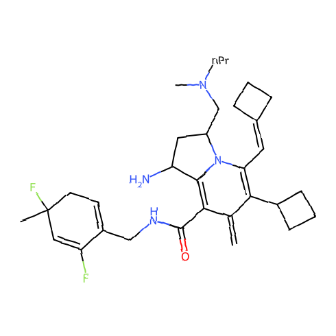 C=C1C(C(=O)NCC2=CCC(C)(F)C=C2F)=C2C(N)CC(CN(C)CCC)N2C(C=C2CCC2)=C1C1CCC1